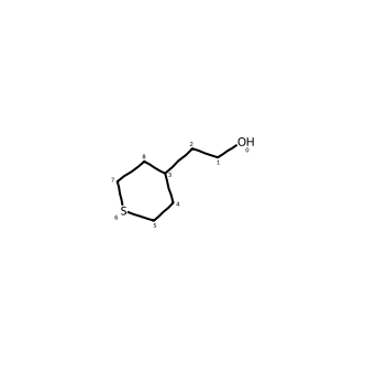 OCCC1CCSCC1